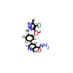 COc1c(Cl)c(C)nn1C[C@H]1CC[C@H](c2cnc(C)c(C(N)=O)c2)CC1